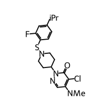 CNc1cnn(C2CCN(Sc3ccc(C(C)C)cc3F)CC2)c(=O)c1Cl